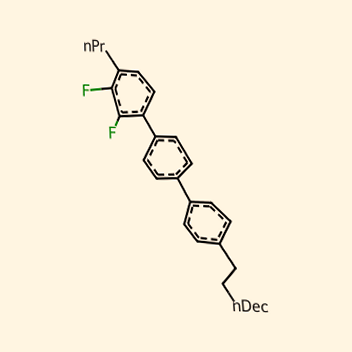 CCCCCCCCCCCCc1ccc(-c2ccc(-c3ccc(CCC)c(F)c3F)cc2)cc1